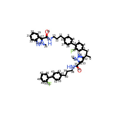 CC(Cc1ccc(-c2ccc(CCCNC(=O)c3c4ccccc4nn3C)cc2)c(F)c1)c1cc(C(=O)NCCCc2ccc(-c3ccccc3F)cc2)n(C)n1